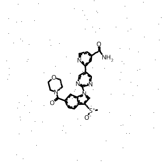 C[S+]([O-])c1cn(-c2ncc(-c3cc(C(N)=O)ccn3)cn2)c2cc(C(=O)N3CCOCC3)ccc12